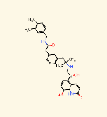 Cc1ccc(CNC(=O)Cc2cccc(CC(C)(C)NC[C@H](O)c3ccc(O)c4[nH]c(=O)ccc34)c2)cc1C